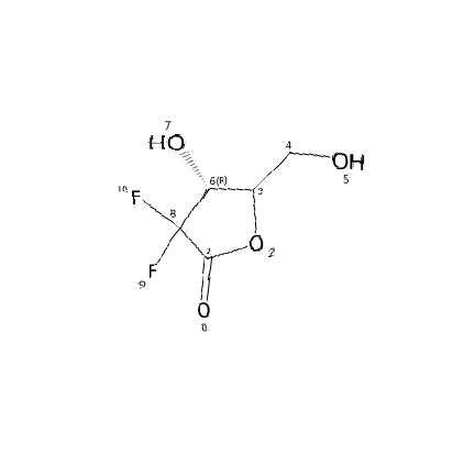 O=C1OC(CO)[C@@H](O)C1(F)F